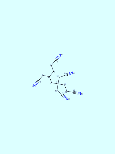 N#CCCC(CC#N)CC(CC#N)(CC#N)CCC#N